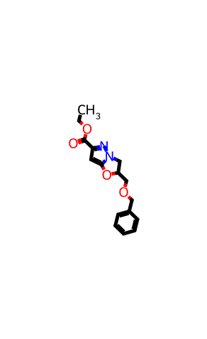 CCOC(=O)c1cc2n(n1)CC(COCc1ccccc1)O2